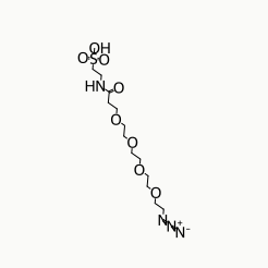 [N-]=[N+]=NCCOCCOCCOCCOCCC(=O)NCCS(=O)(=O)O